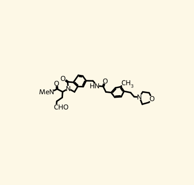 CNC(=O)C(CCC=O)N1Cc2cc(CNC(=O)Cc3ccc(CCN4CCOCC4)c(C)c3)ccc2C1=O